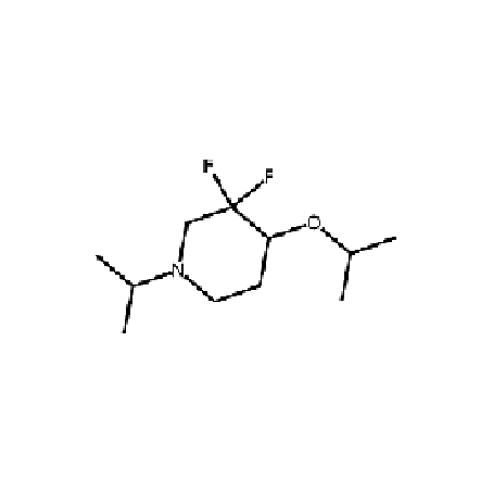 CC(C)OC1CCN(C(C)C)CC1(F)F